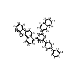 c1ccc(-c2ccc(-c3nc(-c4ccc5ccccc5c4)nc(-c4cccc5c4ccc4c6cccnc6oc54)n3)cc2)cc1